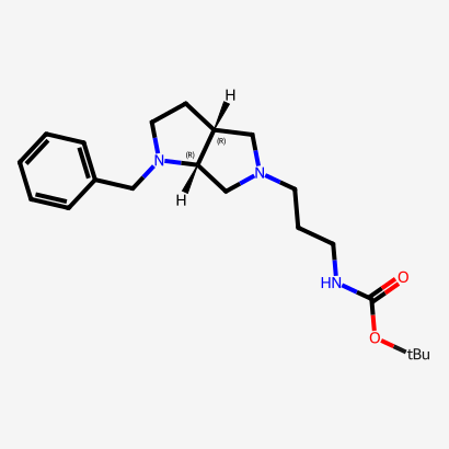 CC(C)(C)OC(=O)NCCCN1C[C@H]2CCN(Cc3ccccc3)[C@H]2C1